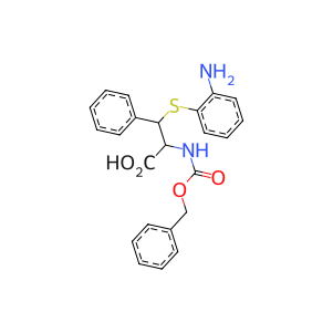 Nc1ccccc1SC(c1ccccc1)C(NC(=O)OCc1ccccc1)C(=O)O